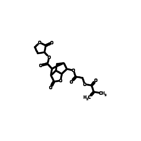 C=C(C)C(=O)OCC(=O)OC1C2CC3C1OC(=O)C3C2C(=O)OC1CCOC1=O